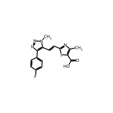 Cc1nc(C=Cc2c(-c3ccc(F)cc3)nnn2C)sc1C(=O)O